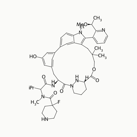 CCn1c(-c2cccnc2[C@H](C)OC)c2c3cc(ccc31)-c1cc(O)cc(c1)C[C@H](NC(=O)C(C(C)C)N(C)C(=O)C1(F)CCNCC1)C(=O)N1CCC[C@H](N1)C(=O)OCC(C)(C)C2